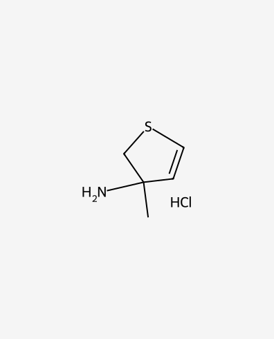 CC1(N)C=CSC1.Cl